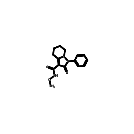 CONC(=O)c1c2n(n(-c3ccccc3)c1=O)CCCC2